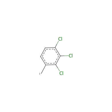 [CH]c1ccc(Cl)c(Cl)c1Cl